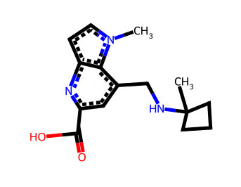 Cn1ccc2nc(C(=O)O)cc(CNC3(C)CCC3)c21